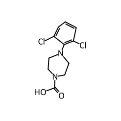 O=C(O)N1CCN(c2c(Cl)cccc2Cl)CC1